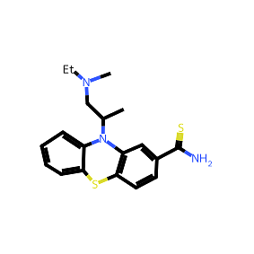 CCN(C)CC(C)N1c2ccccc2Sc2ccc(C(N)=S)cc21